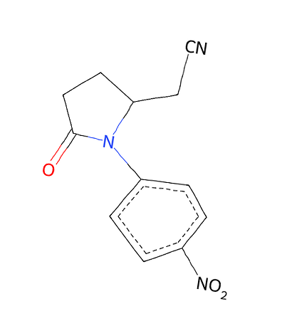 N#CCC1CCC(=O)N1c1ccc([N+](=O)[O-])cc1